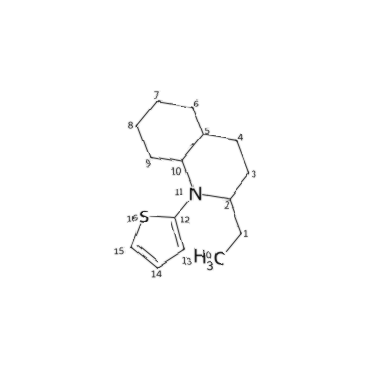 CCC1CCC2CCCCC2N1c1cccs1